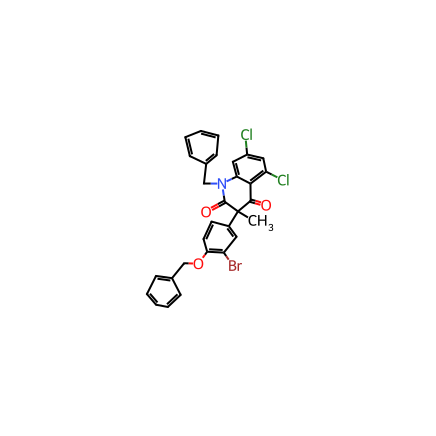 CC1(c2ccc(OCc3ccccc3)c(Br)c2)C(=O)c2c(Cl)cc(Cl)cc2N(Cc2ccccc2)C1=O